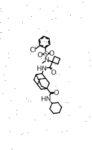 CN(C1(C(=O)NC2C3CC4CC2CC(C(=O)NC2CCCCC2)(C4)C3)CCC1)S(=O)(=O)c1ccccc1Cl